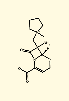 C[N+]1(CC2(N)C(=O)N3C(C(=O)[O-])=CCS[C@H]32)CCCC1